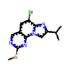 CSc1ncc2cc(Br)c3nc(C(C)C)cn3c2n1